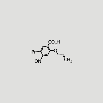 C=CCOc1cc(N=O)c(C(C)C)cc1C(=O)O